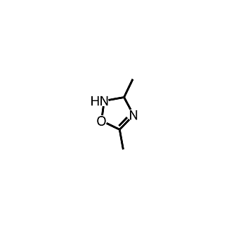 CC1=NC(C)NO1